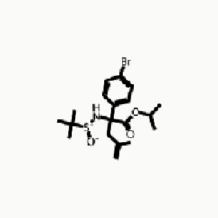 C=C(C)CC(N[S+]([O-])C(C)(C)C)(C(=O)OC(C)C)c1ccc(Br)cc1